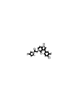 O=C(Cn1ccc2[nH]cc(-c3ccc(Cl)c(F)c3)c2c1=O)N1CCC(F)C1